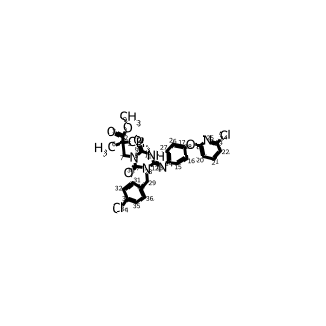 COC(=O)C(C)(C)Cn1c(=O)[nH]/c(=N\c2ccc(Oc3cccc(Cl)n3)cc2)n(Cc2ccc(Cl)cc2)c1=O